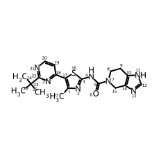 Cc1nc(NC(=O)N2CCc3[nH]cnc3C2)sc1-c1ccnc(C(C)(C)C)n1